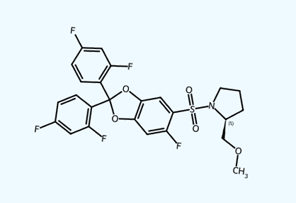 COC[C@@H]1CCCN1S(=O)(=O)c1cc2c(cc1F)OC(c1ccc(F)cc1F)(c1ccc(F)cc1F)O2